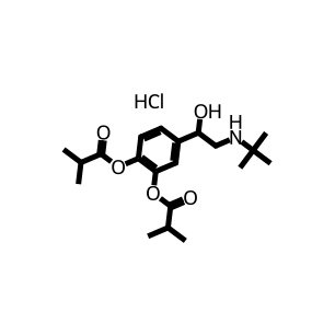 CC(C)C(=O)Oc1ccc(C(O)CNC(C)(C)C)cc1OC(=O)C(C)C.Cl